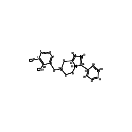 Clc1cccc(CN2CCn3c(nnc3-c3cccnc3)C2)c1Cl